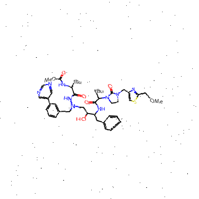 COCc1nc(CN2CCN(C(C(=O)NC(Cc3ccccc3)C(O)CN(Cc3cccc(-c4cncnc4)c3)NC(=O)C(NC(=O)OC)C(C)(C)C)C(C)(C)C)C2=O)cs1